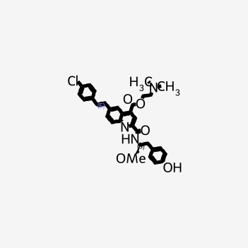 COC[C@H](Cc1ccc(O)cc1)NC(=O)c1cc(C(=O)OCCN(C)C)c2cc(/C=C/c3ccc(Cl)cc3)ccc2n1